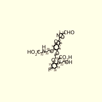 O=Cc1cnc(-c2cc3cc(OCCOc4cc(F)ccc4N(CCO)CC(=O)O)c(OCCNCC(=O)O)cc3o2)o1